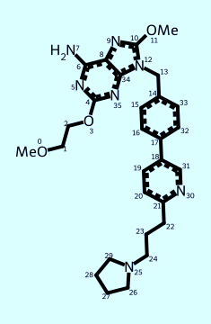 COCCOc1nc(N)c2nc(OC)n(Cc3ccc(-c4ccc(CCCN5CCCC5)nc4)cc3)c2n1